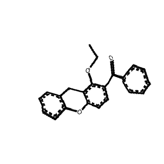 CCOc1c(C(=O)c2ccccc2)ccc2c1Cc1ccccc1O2